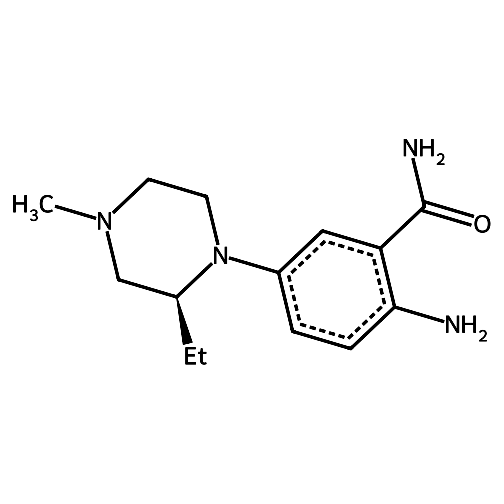 CC[C@H]1CN(C)CCN1c1ccc(N)c(C(N)=O)c1